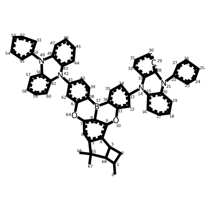 CC1CC2c3c(cc4c5c3Oc3cc(N6c7ccccc7N(c7ccccc7)c7ccccc76)ccc3B5c3ccc(N5c6ccccc6N(c6ccccc6)c6ccccc65)cc3O4)C(C)(C)C12